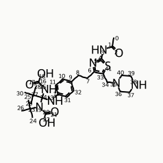 CC(=O)Nc1nc(CCc2ccc(NC(NC(=O)O)(N(C(=O)O)C(C)(C)C)C(C)(C)C)cc2)c(CN2CCNCC2)s1